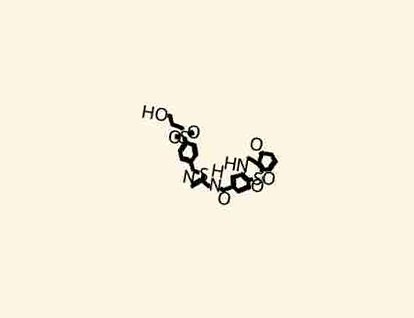 O=C1CC=CC2=C1CNc1cc(C(=O)NCc3cnc(-c4ccc(S(=O)(=O)CCCO)cc4)s3)ccc1S2(=O)=O